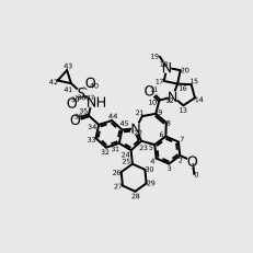 COc1ccc2c(c1)C=C(C(=O)N1CCCC13CN(C)C3)Cn1c-2c(C2CCCCC2)c2ccc(C(=O)NS(=O)(=O)C3CC3)cc21